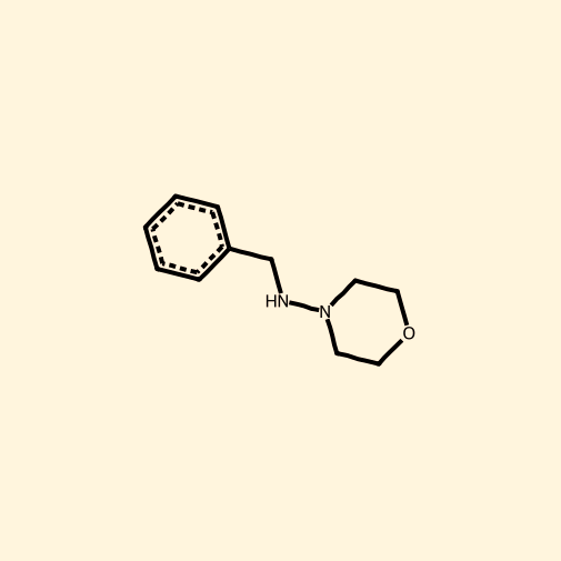 c1ccc(CNN2CCOCC2)cc1